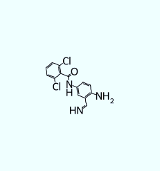 N=Cc1cc(NC(=O)c2c(Cl)cccc2Cl)ccc1N